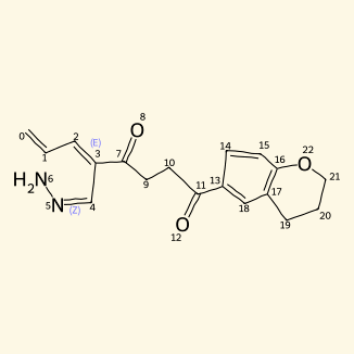 C=C/C=C(\C=N/N)C(=O)CCC(=O)c1ccc2c(c1)CCCO2